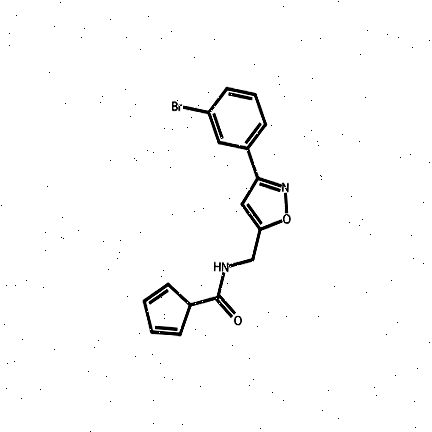 O=C(NCc1cc(-c2cccc(Br)c2)no1)C1C=CC=C1